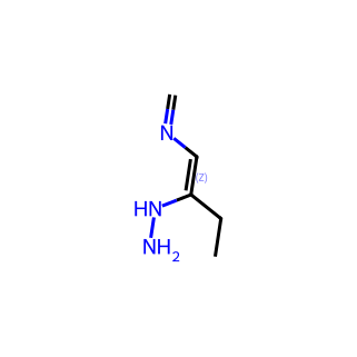 C=N/C=C(/CC)NN